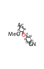 COc1cc(C(C)=O)ccc1OCc1ccc(C#N)cc1